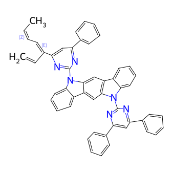 C=C/C(=C\C=C/C)c1cc(-c2ccccc2)nc(-n2c3ccccc3c3cc4c(cc32)c2ccccc2n4-c2nc(-c3ccccc3)cc(-c3ccccc3)n2)n1